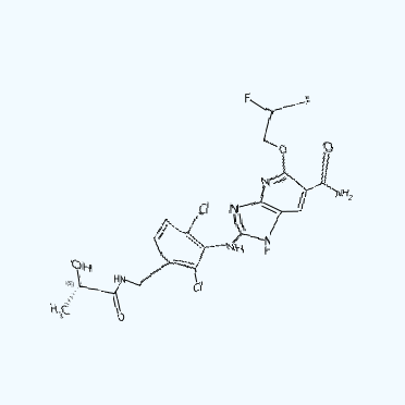 C[C@H](O)C(=O)NCc1ccc(Cl)c(Nc2nc3nc(OCC(F)F)c(C(N)=O)cc3[nH]2)c1Cl